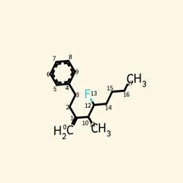 C=C(CCc1ccccc1)C(C)C(F)CCCC